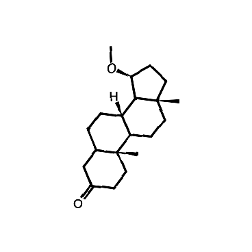 CO[C@H]1CC[C@]2(C)CCC3[C@H](CCC4CC(=O)CC[C@]43C)C12